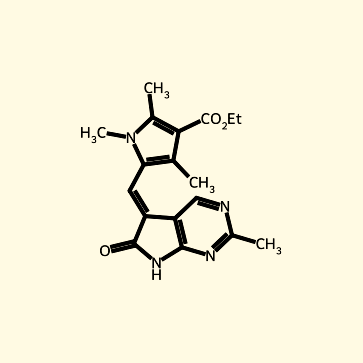 CCOC(=O)c1c(C)c(C=C2C(=O)Nc3nc(C)ncc32)n(C)c1C